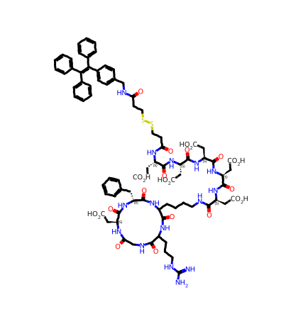 N=C(N)NCCCC1NC(=O)C(CCCCNC(=O)[C@H](CC(=O)O)NC(=O)[C@H](CC(=O)O)NC(=O)[C@H](CC(=O)O)NC(=O)[C@H](CC(=O)O)NC(=O)[C@H](CC(=O)O)NC(=O)CCSSCCC(=O)NCc2ccc(C(=C(c3ccccc3)c3ccccc3)c3ccccc3)cc2)NC(=O)[C@@H](Cc2ccccc2)NC(=O)[C@H](CC(=O)O)NC(=O)CNC1=O